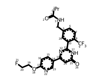 CC(C)C(=O)NCc1ccc(C(F)(F)F)c(-c2nc(-c3ccc(OCCF)nc3)cc(=O)[nH]2)c1